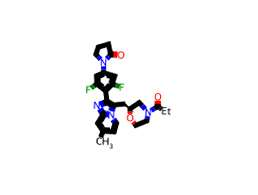 CCC(=O)N1CCO[C@@H](Cc2c(-c3c(F)cc(N4CCCC4=O)cc3F)nc3cc(C)ccn23)C1